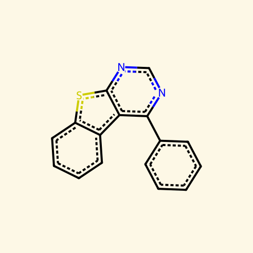 c1ccc(-c2ncnc3sc4ccccc4c23)cc1